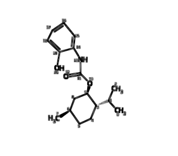 CC(C)[C@@H]1CC[C@@H](C)C[C@H]1OC(=O)Nc1ccccc1O